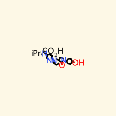 CC(C)CN(C(=O)O)c1ccc(N2CCC[C@]3(CCN(C4CCC(O)CC4)C3=O)C2)nc1